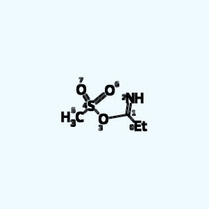 CCC(=N)OS(C)(=O)=O